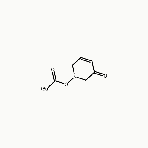 CC(C)(C)C(=O)ON1CC=CC(=O)C1